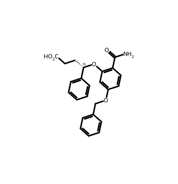 NC(=O)c1ccc(OCc2ccccc2)cc1O[C@@H](CCC(=O)O)c1ccccc1